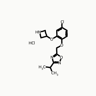 CC(C)c1noc(COc2ccc(Cl)cc2OC2CNC2)n1.Cl